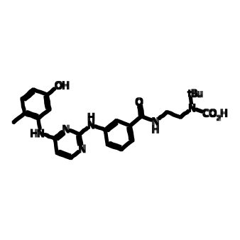 Cc1ccc(O)cc1Nc1ccnc(Nc2cccc(C(=O)NCCN(C(=O)O)C(C)(C)C)c2)n1